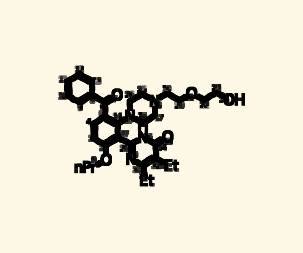 CCCOc1ccc(C(=O)c2ccccc2)c(N2CCN(CCOCCO)CC2)c1-c1nc(CC)c(CC)c(=O)[nH]1